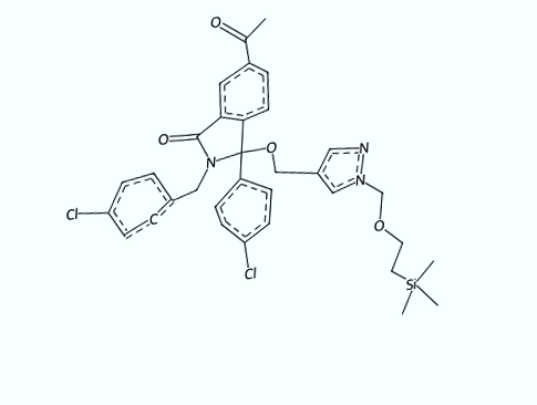 CC(=O)c1ccc2c(c1)C(=O)N(Cc1ccc(Cl)cc1)C2(OCc1cnn(COCC[Si](C)(C)C)c1)c1ccc(Cl)cc1